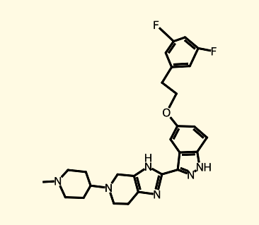 CN1CCC(N2CCc3nc(-c4n[nH]c5ccc(OCCc6cc(F)cc(F)c6)cc45)[nH]c3C2)CC1